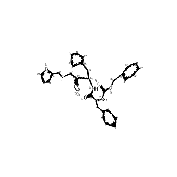 O=C(NC(Cc1ccccc1)C(=O)NC(Cc1ccccc1)C(=O)CSCc1ccco1)OCc1ccccc1